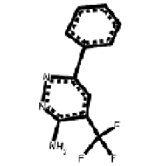 Nc1nnc(-c2ccccc2)cc1C(F)(F)F